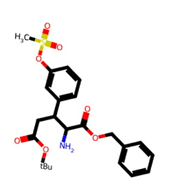 CC(C)(C)OC(=O)CC(c1cccc(OS(C)(=O)=O)c1)C(N)C(=O)OCc1ccccc1